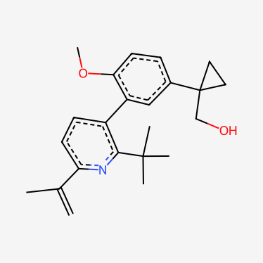 C=C(C)c1ccc(-c2cc(C3(CO)CC3)ccc2OC)c(C(C)(C)C)n1